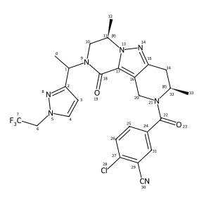 CC(c1ccn(CC(F)(F)F)n1)N1C[C@@H](C)n2nc3c(c2C1=O)CN(C(=O)c1ccc(Cl)c(C#N)c1)[C@H](C)C3